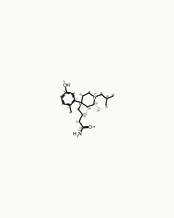 Cc1ccc(O)cc1[C@]1(CCCC(N)=O)CCN(CC(C)C)[C@H](C)[C@@H]1C